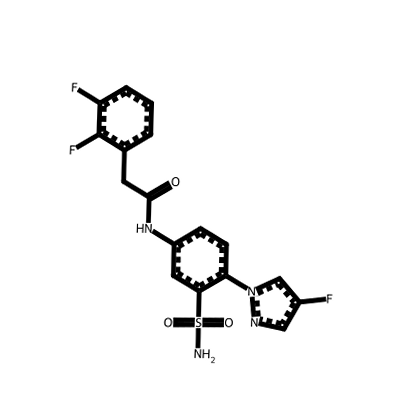 NS(=O)(=O)c1cc(NC(=O)Cc2cccc(F)c2F)ccc1-n1cc(F)cn1